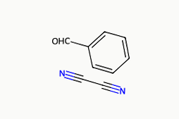 N#CC#N.O=Cc1ccccc1